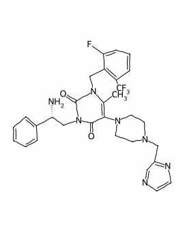 Cc1c(N2CCN(Cc3cnccn3)CC2)c(=O)n(C[C@@H](N)c2ccccc2)c(=O)n1Cc1c(F)cccc1C(F)(F)F